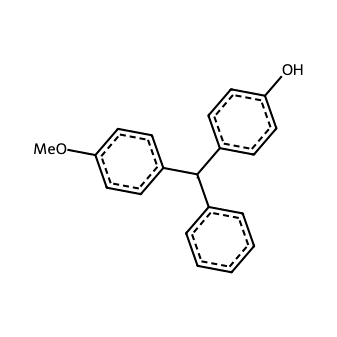 COc1ccc([C](c2ccccc2)c2ccc(O)cc2)cc1